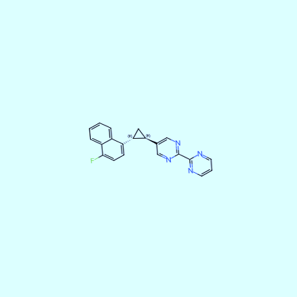 Fc1ccc([C@@H]2C[C@H]2c2cnc(-c3ncccn3)nc2)c2ccccc12